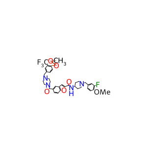 COc1ccc(CN2CCC(NC(=O)c3cc4cc(C(=O)N5CCN(Cc6ccc(S(C)(=O)=O)c(C(F)(F)F)c6)CC5)ccc4o3)CC2)cc1F